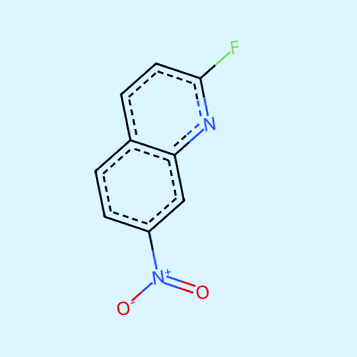 O=[N+]([O-])c1ccc2ccc(F)nc2c1